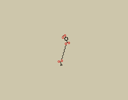 O=C(OCCCCCCCCCCOC(=O)C1CC1)c1ccc2c(c1)OCO2